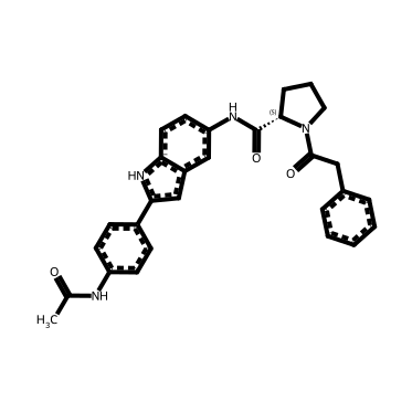 CC(=O)Nc1ccc(-c2cc3cc(NC(=O)[C@@H]4CCCN4C(=O)Cc4ccccc4)ccc3[nH]2)cc1